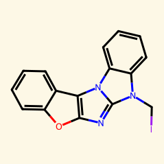 ICn1c2ccccc2n2c3c(nc12)oc1ccccc13